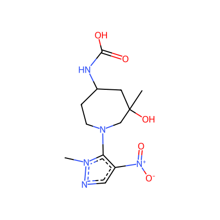 Cn1ncc([N+](=O)[O-])c1N1CCC(NC(=O)O)CC(C)(O)C1